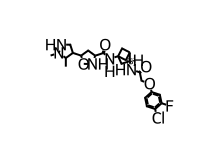 CC1C(C2CC(C(=O)NC34CC(C3)[C@@H](NC(=O)COc3ccc(Cl)c(F)c3)C4)NO2)CNN1C